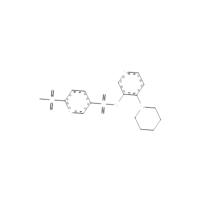 CS(=O)(=O)c1ccc(S(=O)(=O)Nc2cnccc2N2CCCCC2)cn1